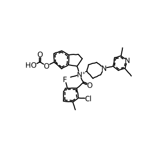 Cc1cc(N2CCC([N+](C)(C(=O)c3c(F)ccc(C)c3Cl)C3CCc4ccc(OC(=O)O)cc43)CC2)cc(C)n1